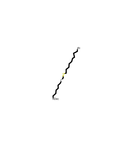 [CH2]CCCCCCCCCCCCCCCCCSCCCCCCCCCC(C)C